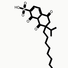 CCCCCCCCC1(C(C)C)CC(=O)C2=CC=C(S(=O)(=O)O)C(=O)C2C1=O